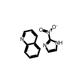 O=[N+]([O-])c1ncc[nH]1.c1ccc2ncccc2c1